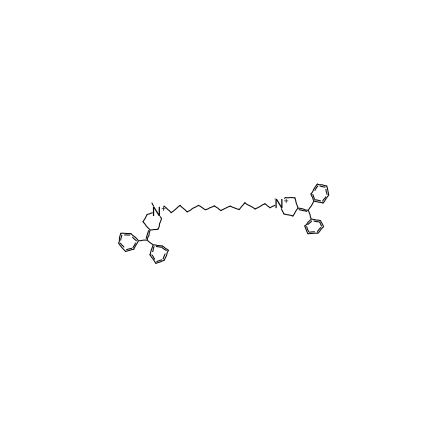 C[N+]1(CCCCCCCCCCCCCC[N+]2(C)CCC(=C(c3ccccc3)c3ccccc3)CC2)CCC(=C(c2ccccc2)c2ccccc2)CC1